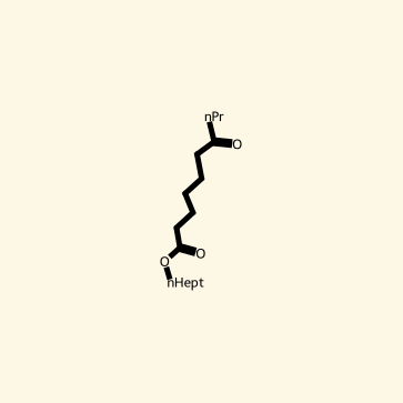 CCCCCCCOC(=O)CCCCCC(=O)CCC